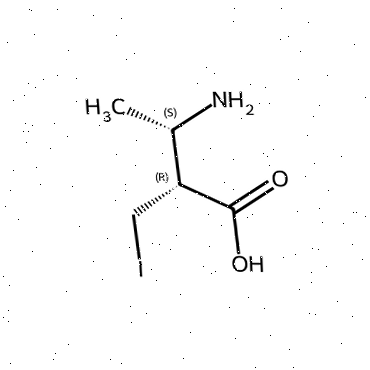 C[C@H](N)[C@@H](CI)C(=O)O